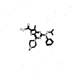 Cc1c(C(N)=O)sc2c(N3CCN(C)CC3)nc(N(OC(C)C)c3ccccc3)nc12